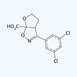 O=C(O)C12OCCC1C(c1cc(Cl)cc(Cl)c1)=NO2